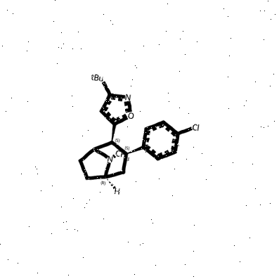 CN1C2CC[C@@H]1C[C@H](c1ccc(Cl)cc1)[C@@H]2c1cc(C(C)(C)C)no1